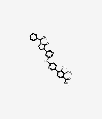 Cc1c(C(N)=O)ccc(-c2ccc(Nc3cncc(N4CCN(C(C)c5ccccc5)C4=O)c3)nc2)c1C